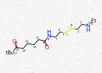 CCNCCSSCCNC(=O)CCCCC(=O)C(C)(C)C